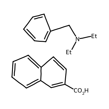 CCN(CC)Cc1ccccc1.O=C(O)c1ccc2ccccc2c1